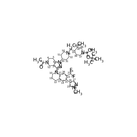 CC(=O)N1CCc2c(c(N3CCCc4cc(-c5cnn(C)c5)c(C(F)F)cc43)nn2C2CCN(CC3CCN(C(=O)OC(C)(C)C)CC3(C)C)CC2)C1